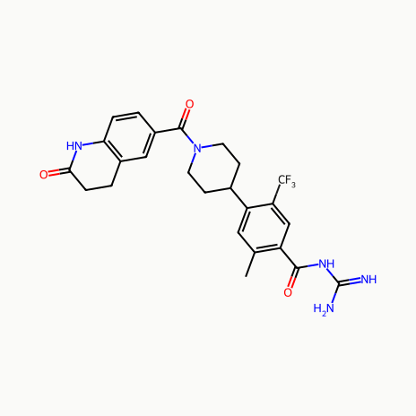 Cc1cc(C2CCN(C(=O)c3ccc4c(c3)CCC(=O)N4)CC2)c(C(F)(F)F)cc1C(=O)NC(=N)N